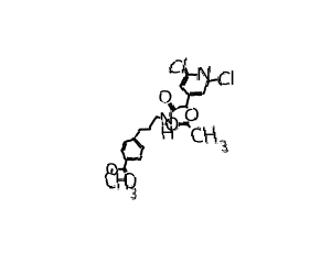 COC(=O)c1ccc(CCCNC(=O)C(OC(C)=O)c2cc(Cl)nc(Cl)c2)cc1